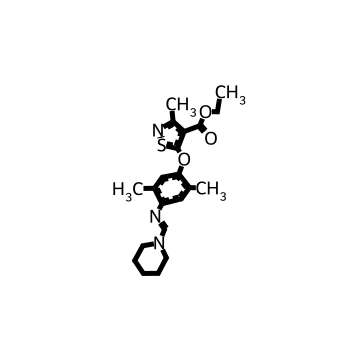 CCOC(=O)c1c(C)nsc1Oc1cc(C)c(/N=C/N2CCCCC2)cc1C